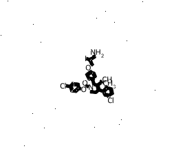 C#CC1=C(c2cc(Cl)ccc2C)CCN(C(=O)Oc2ccc(Cl)cc2)C1c1ccc(OCC(I)CN)cc1